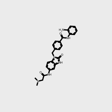 CN(C)CC(=O)Nc1ccc2c(c1)[nH]c(=O)n2Cc1ccc(C(=O)Nc2ccccc2N)cc1